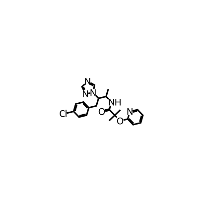 CC(NC(=O)C(C)(C)Oc1ccccn1)C(Cc1ccc(Cl)cc1)n1cncn1